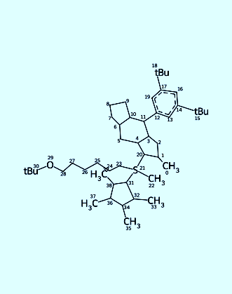 CC1CC2C(CC3CCCC3C2c2cc(C(C)(C)C)cc(C(C)(C)C)c2)C1S(C)(CCCCCCOC(C)(C)C)C1C(C)C(C)C(C)C1C